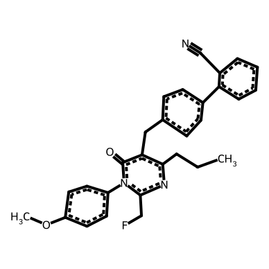 CCCc1nc(CF)n(-c2ccc(OC)cc2)c(=O)c1Cc1ccc(-c2ccccc2C#N)cc1